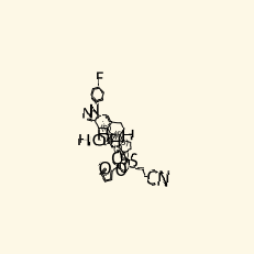 C[C@]12Cc3cnn(-c4ccc(F)cc4)c3C=C1CC[C@@H]1[C@@H]2[C@@H](O)C[C@@]2(C)[C@H]1CC[C@]2(OC(=O)c1ccco1)C(=O)SCCCC#N